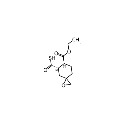 CCOC(=O)[C@H]1CCC2(CO2)C[C@@H]1C(=O)S